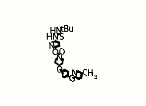 Cc1ccc(Oc2ccc(OC3CCN(C(=O)Oc4ccc(NC(=S)NC(C)(C)C)cn4)CC3)cc2)nc1